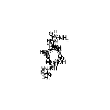 Nc1nc2c(ncn2[C@@H]2O[C@@H]3COP(=O)(O)O[C@H]4C[C@H](Nc5ncnc6scnc56)C[C@@H]4COP(=O)(O)O[C@@H]2[C@@H]3O)c(=O)[nH]1